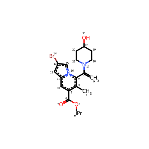 C=C(c1c(C)c(C(=O)OC(C)C)cc2cc(Br)cn12)N1CCC(O)CC1